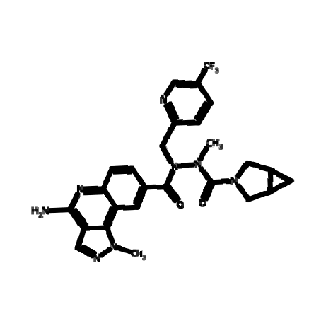 CN(C(=O)N1CC2CC2C1)N(Cc1ccc(C(F)(F)F)cn1)C(=O)c1ccc2nc(N)c3cnn(C)c3c2c1